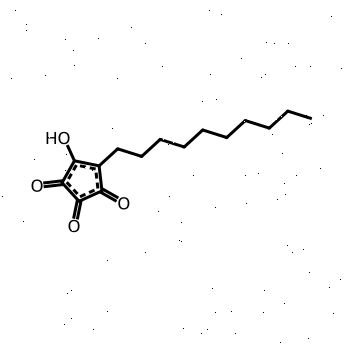 CCCCCCCCCCc1c(O)c(=O)c(=O)c1=O